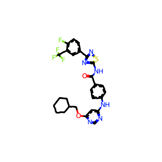 O=C(Nc1nc(-c2ccc(F)c(C(F)(F)F)c2)ns1)c1ccc(Nc2cc(OCC3CCCCC3)ncn2)cc1